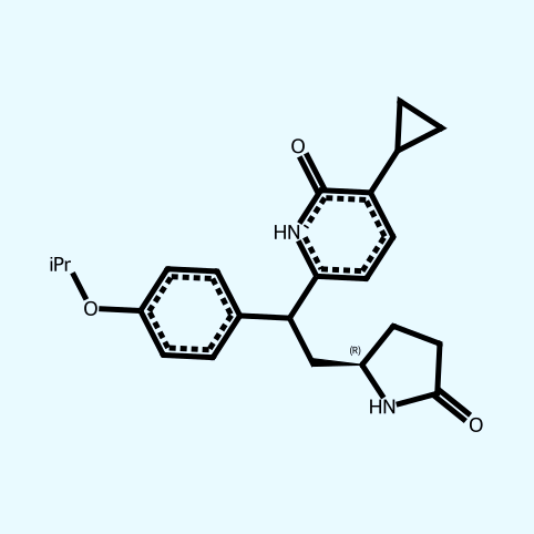 CC(C)Oc1ccc(C(C[C@H]2CCC(=O)N2)c2ccc(C3CC3)c(=O)[nH]2)cc1